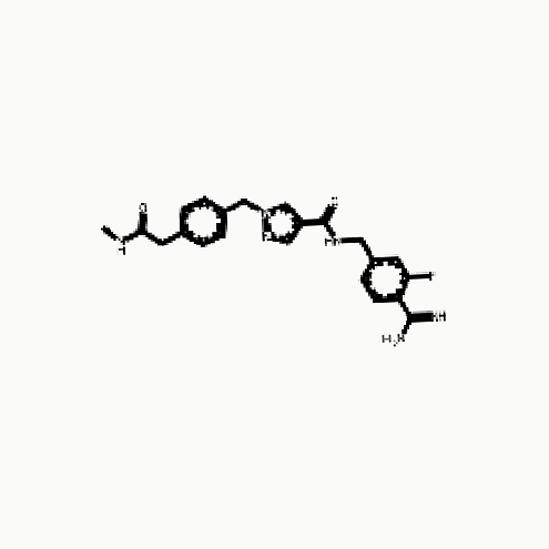 CNC(=O)Cc1ccc(Cn2cc(C(=O)NCc3ccc(C(=N)N)c(F)c3)cn2)cc1